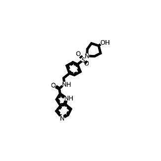 O=C(NCc1ccc(S(=O)(=O)N2CCC(O)CC2)cc1)c1cc2cnccc2[nH]1